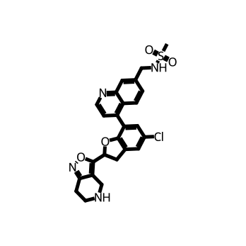 CS(=O)(=O)NCc1ccc2c(-c3cc(Cl)cc4c3OC(c3onc5c3CNCC5)C4)ccnc2c1